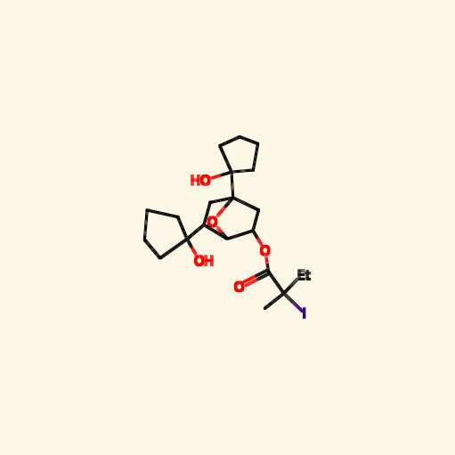 CCC(C)(I)C(=O)OC1CC2(C3(O)CCCC3)CC(C3(O)CCCC3)C1O2